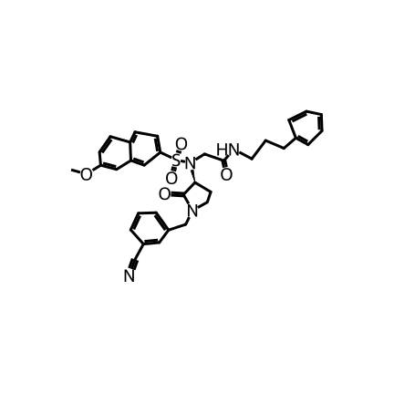 COc1ccc2ccc(S(=O)(=O)N(CC(=O)NCCCc3ccccc3)[C@H]3CCN(Cc4cccc(C#N)c4)C3=O)cc2c1